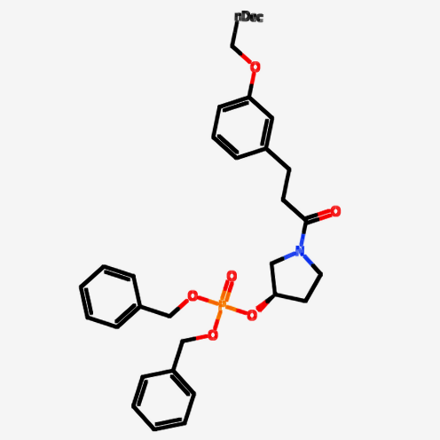 CCCCCCCCCCCOc1cccc(CCC(=O)N2CC[C@@H](OP(=O)(OCc3ccccc3)OCc3ccccc3)C2)c1